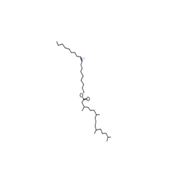 CCCCCCCC/C=C\CCCCCCCCOC(=O)CC(C)CCCC(C)CCCC(C)CCCC(C)C